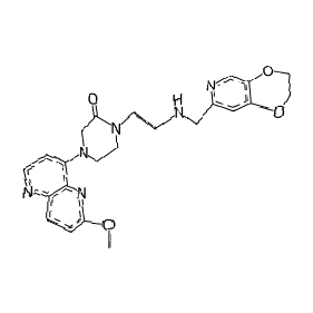 COc1ccc2nccc(N3CCN(CCNCc4cc5c(cn4)OCCO5)C(=O)C3)c2n1